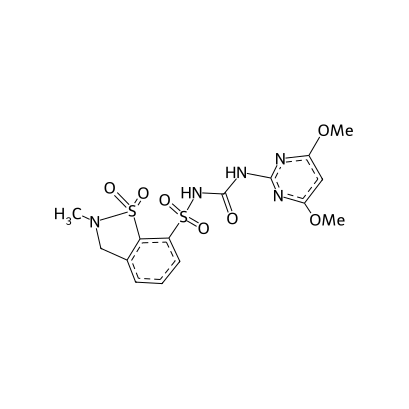 COc1cc(OC)nc(NC(=O)NS(=O)(=O)c2cccc3c2S(=O)(=O)N(C)C3)n1